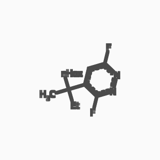 CCCCCCC(C)(CC)c1cc(F)nnc1F